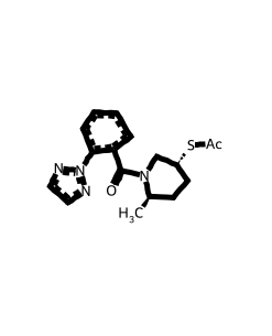 CC(=O)S[C@@H]1CC[C@@H](C)N(C(=O)c2ccccc2-n2nccn2)C1